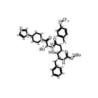 CC[C@H](C)[C@H](NC(=O)[C@H](Cc1ccc(OC(F)(F)F)cc1)C[C@H](O)[C@H](Cc1ccccc1)NC(=O)OC(C)(C)C)C(=O)N1CCC(n2ccnc2)CC1